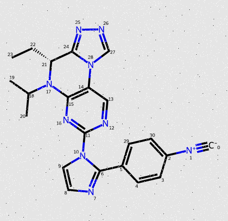 [C-]#[N+]c1ccc(-c2nccn2-c2ncc3c(n2)N(C(C)C)[C@H](CC)c2nncn2-3)cc1